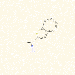 CC(=NO)c1cc2ccccc2s1